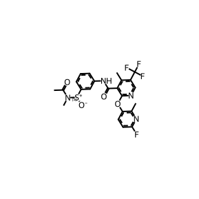 CC(=O)N(C)[S@+]([O-])c1cccc(NC(=O)c2c(Oc3ccc(F)nc3C)ncc(C(F)(F)F)c2C)c1